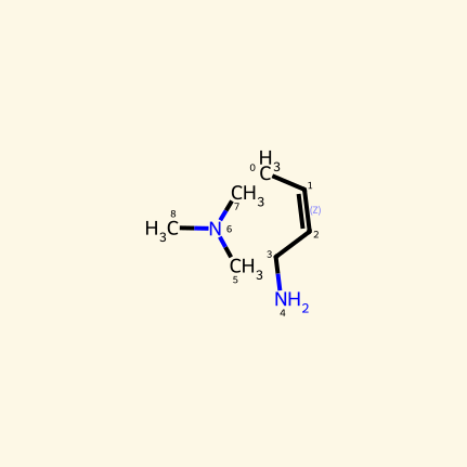 C/C=C\CN.CN(C)C